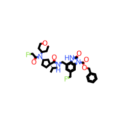 CC(C)[C@]1(C(=O)NCc2cc(CF)cc3c2[nH]c(=O)n3C(=O)OCc2ccccc2)CC[C@@H](N(C(=O)CF)C2CCOCC2)C1